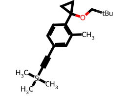 Cc1cc(C#C[Si](C)(C)C)ccc1C1(OCC(C)(C)C)CC1